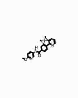 COc1ccc(NC(=O)c2ccc(-c3ncccc3OC)c(OC)c2)cn1